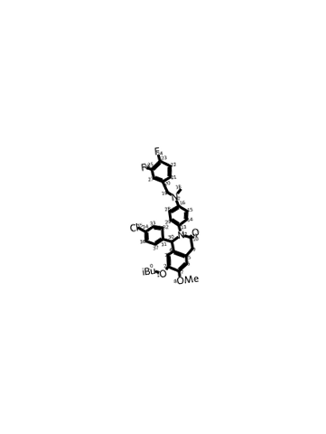 CCC(C)Oc1cc2c(cc1OC)CC(=O)N(c1ccc(N(C)Cc3ccc(F)c(F)c3)cc1)C2c1ccc(Cl)cc1